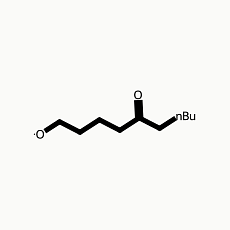 CCCCCC(=O)CCCC[O]